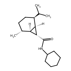 CC(C)[C@@H]1CC[C@@H](C)[C@@H]2[C@@H](C(=O)NC3CCCCC3)[C@@H]21